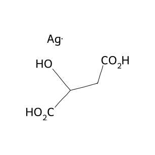 O=C(O)CC(O)C(=O)O.[Ag]